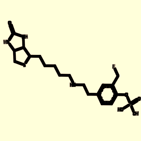 O=C1NC2CSC(CCCCCNCCc3ccc(OP(=O)(O)O)c(CF)c3)C2N1